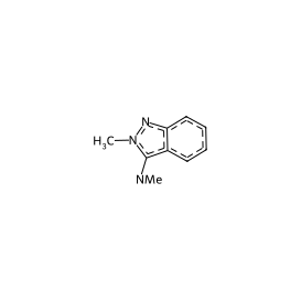 CNc1c2ccccc2nn1C